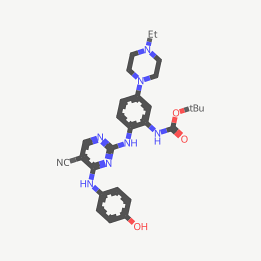 CCN1CCN(c2ccc(Nc3ncc(C#N)c(Nc4ccc(O)cc4)n3)c(NC(=O)OC(C)(C)C)c2)CC1